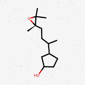 CC(CC[C@]1(C)OC1(C)C)C1CCC(O)C1